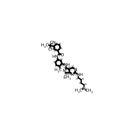 Cc1ccc(NC(=O)c2cccc(C(C)(C)C#N)c2)cc1Nc1nn(C)c2nc(NCCCCN(C)C)ncc12